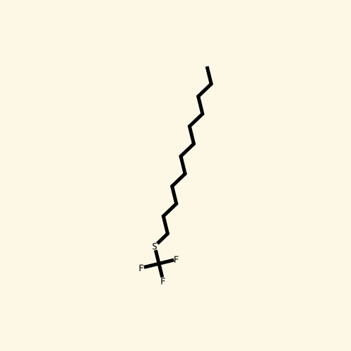 CCCCCCCCCCCCSC(F)(F)F